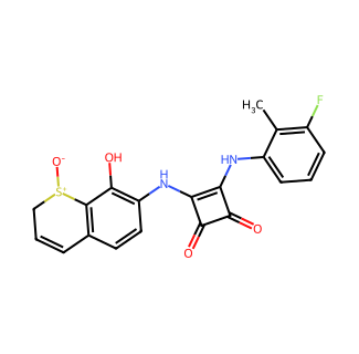 Cc1c(F)cccc1Nc1c(Nc2ccc3c(c2O)[S+]([O-])CC=C3)c(=O)c1=O